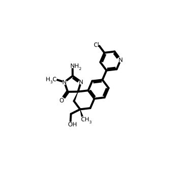 CN1C(=O)[C@]2(C[C@@](C)(CO)Cc3ccc(-c4cncc(Cl)c4)cc32)N=C1N